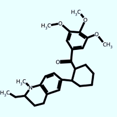 CCC1CCc2cc(C3CCCCC3C(=O)c3cc(OC)c(OC)c(OC)c3)ccc2N1C